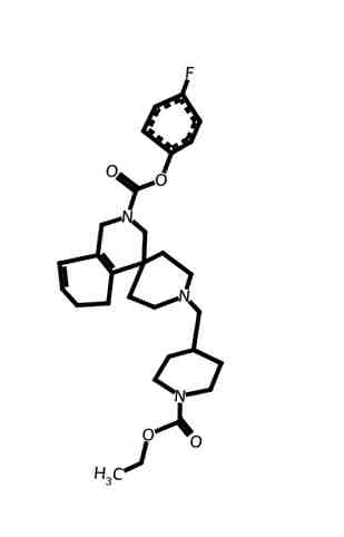 CCOC(=O)N1CCC(CN2CCC3(CC2)CN(C(=O)Oc2ccc(F)cc2)CC2=C3CCC=C2)CC1